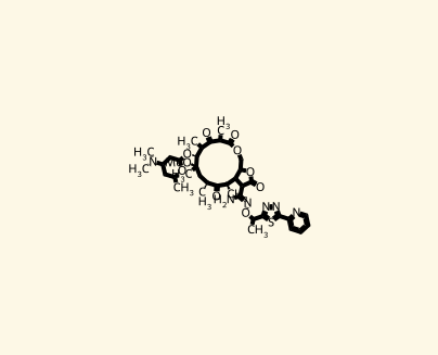 CO[C@]1(C)C[C@@H](C)C(=O)[C@H](C)C2C(COC(=O)C(C)C(=O)C(C)[C@H]1OC1CC(N(C)C)CC(C)O1)OC(=O)C2/C(N)=N/OC(C)c1nnc(-c2ccccn2)s1